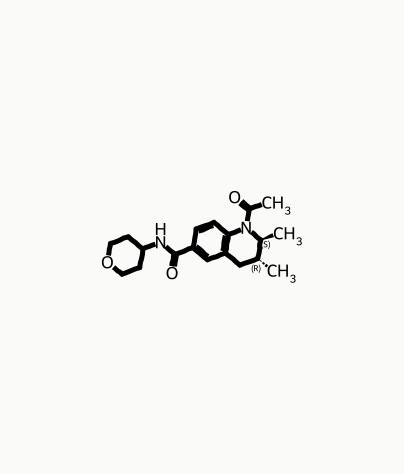 CC(=O)N1c2ccc(C(=O)NC3CCOCC3)cc2C[C@@H](C)[C@@H]1C